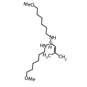 COCCCCCCN[SiH](C=C(C)C)NCCCCCCOC